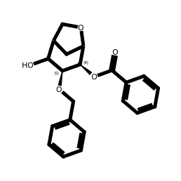 O=C(O[C@@H]1C2CC(CO2)C(O)[C@@H]1OCc1ccccc1)c1ccccc1